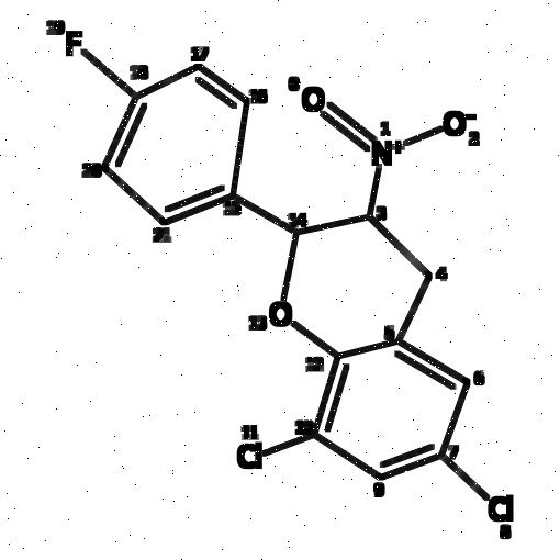 O=[N+]([O-])C1Cc2cc(Cl)cc(Cl)c2OC1c1ccc(F)cc1